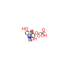 CC(=O)[C@@H](O)CC(=O)OC1=CC[C@@]2(O)[C@H]3Cc4ccc(O)c5c4[C@@]2(CCN3C)[C@H]1O5